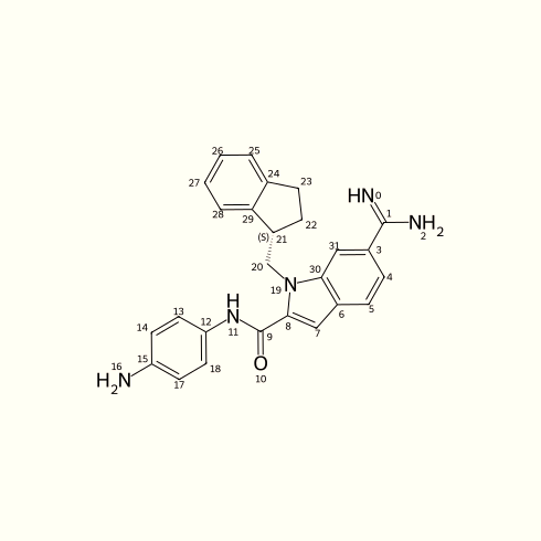 N=C(N)c1ccc2cc(C(=O)Nc3ccc(N)cc3)n(C[C@H]3CCc4ccccc43)c2c1